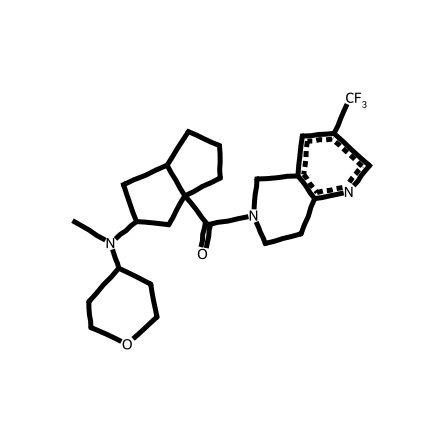 CN(C1CCOCC1)C1CC2CCCC2(C(=O)N2CCc3ncc(C(F)(F)F)cc3C2)C1